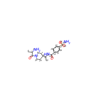 CC(N)C(=O)N1CCC(C(C)NC(=O)c2ccc(S(N)(=O)=O)cc2)CC1